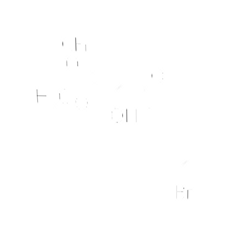 COc1ccc(C(=O)C=Cc2ccc(Br)cc2)c(O)c1OC